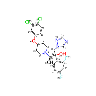 C[C@@H](N1CCC(Oc2ccc(Cl)c(Cl)c2)CC1)[C@](O)(Cn1cncn1)c1ccc(F)cc1F